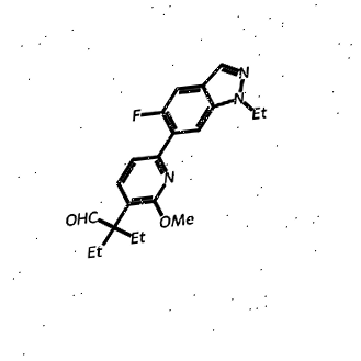 CCn1ncc2cc(F)c(-c3ccc(C(C=O)(CC)CC)c(OC)n3)cc21